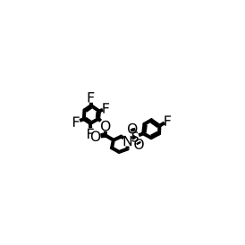 O=C(Oc1c(F)c(F)cc(F)c1F)C1CCCN(S(=O)(=O)c2ccc(F)cc2)C1